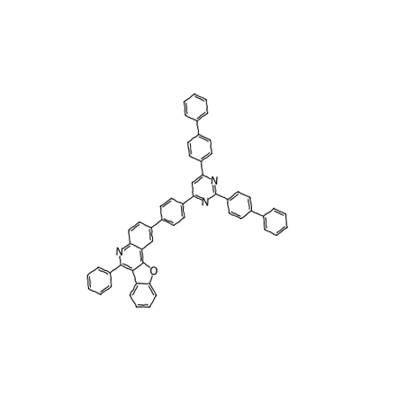 c1ccc(-c2ccc(-c3cc(-c4ccc(-c5ccc6nc(-c7ccccc7)c7c8ccccc8oc7c6c5)cc4)nc(-c4ccc(-c5ccccc5)cc4)n3)cc2)cc1